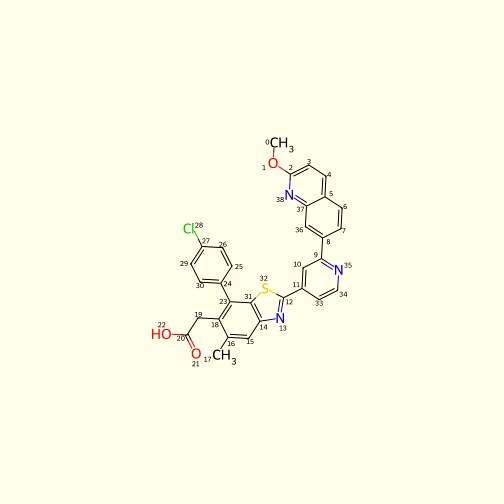 COc1ccc2ccc(-c3cc(-c4nc5cc(C)c(CC(=O)O)c(-c6ccc(Cl)cc6)c5s4)ccn3)cc2n1